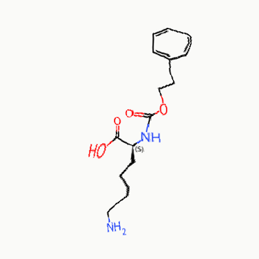 NCCCC[C@H](NC(=O)OCCc1ccccc1)C(=O)O